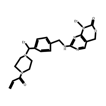 C=CC(=O)N1CCN(C(CC)c2ccc(CNc3ncc4c(n3)N(CC)C(=O)OC4)cc2)CC1